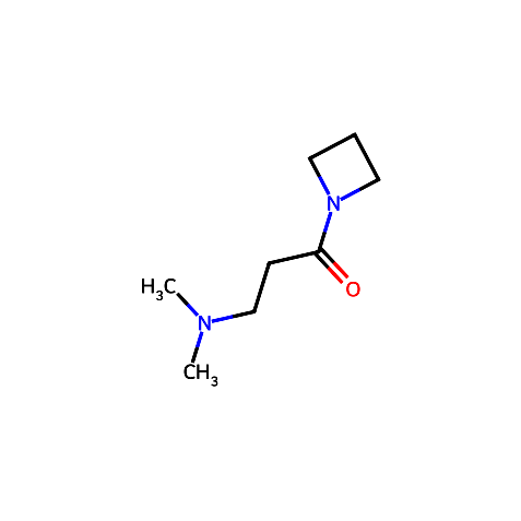 CN(C)CCC(=O)N1CCC1